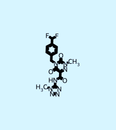 Cn1nnnc1NC(=O)c1nn(C)c(=O)n(Cc2ccc(C(F)F)cc2)c1=O